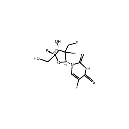 O=c1[nH]c(=S)c(F)cn1[C@@H]1O[C@](F)(CO)[C@H](O)C1(F)CF